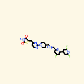 O=C1NC(=O)/C(=C/c2ccnc(N3CCC(CNCc4cc(F)cc(-c5cc(F)nc(F)c5)n4)CC3)n2)S1